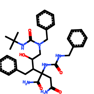 CC(C)(C)NC(=O)N(Cc1ccccc1)CC(O)C(Cc1ccccc1)C(CC(N)=O)(NC(=O)NCc1ccccc1)C(N)=O